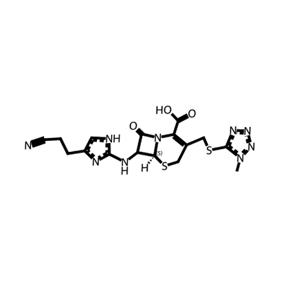 Cn1nnnc1SCC1=C(C(=O)O)N2C(=O)C(Nc3nc(CCC#N)c[nH]3)[C@@H]2SC1